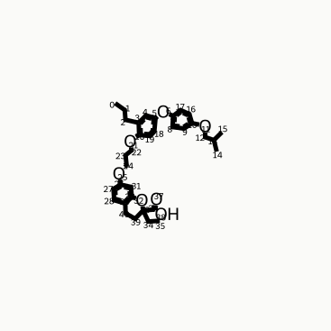 CCCc1cc(Oc2ccc(OCC(C)C)cc2)ccc1OCCCOc1ccc2c(c1)OC(CC)(C(=O)O)CC2